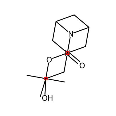 CC(C)(C)OC(=O)N1C2CC1CN(CCO)C2